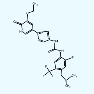 CCOc1cc(-c2ncc(NC(=O)Nc3cc(C(F)(F)F)c(CN(C)C)cc3F)cn2)c[nH]c1=O